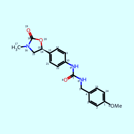 COc1ccc(CNC(=O)Nc2ccc([C@H]3CN(C)C(=O)O3)cc2)cc1